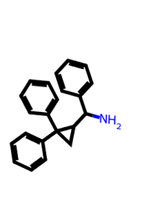 NC(c1ccccc1)C1CC1(c1ccccc1)c1ccccc1